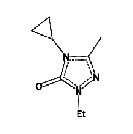 CCn1nc(C)n(C2CC2)c1=O